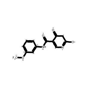 O=C1CC(Cl)=NC=C1C(=O)Nc1cccc(OC(F)(F)F)c1